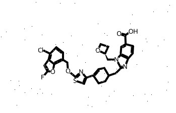 O=C(O)c1ccc2nc(CC3CC=C(c4csc(OCc5ccc(Cl)c6cc(F)oc56)n4)CC3)n(C[C@@H]3CCO3)c2c1